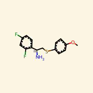 COc1ccc(SC[C@@H](N)c2ccc(F)cc2F)cc1